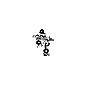 CC[C@H](C)[C@@H](C(=O)N[C@@H](Cc1ccccc1)[C@@H](O)CN(CC(C)C)S(=O)(=O)c1ccc(Cl)c(N)c1)N1CCN(Cc2ccc3[nH]cnc3c2)C1=O